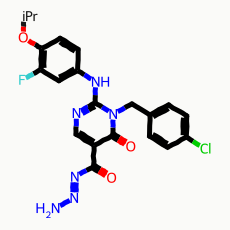 CC(C)Oc1ccc(Nc2ncc(C(=O)N=NN)c(=O)n2Cc2ccc(Cl)cc2)cc1F